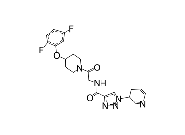 O=C(NCC(=O)N1CCC(Oc2cc(F)ccc2F)CC1)c1cn(C2C=NC=CC2)nn1